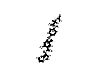 COc1cc2nn(C3CCC(N(C)C(=O)C(C)(C)OC(C)=O)CC3)cc2cc1C(=O)Nc1cnn2cccnc12